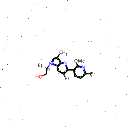 CCc1cc2c(nc1-c1ccc(C(C)C)nc1OC)c(C)cn2[C@@H](CC)CO